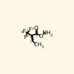 C/C=C(\C(=O)ON)C(F)(F)F